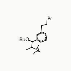 CC(C)CCc1cccc(C(OCC(C)C)C(C)[Si](C)(C)C)c1